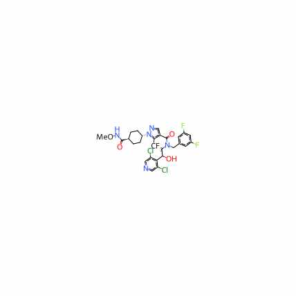 CONC(=O)[C@H]1CC[C@H](n2ncc(C(=O)N(Cc3cc(F)cc(F)c3)CC(O)c3c(Cl)cncc3Cl)c2C(F)(F)F)CC1